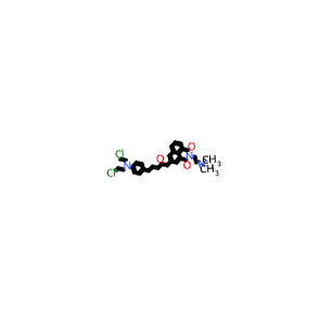 CN(C)CCN1C(=O)c2cccc3cc(CC(=O)CCCc4ccc(N(CCCl)CCCl)cc4)cc(c23)C1=O